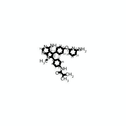 C=C(C)C(=O)Nc1ccc(-c2c(-c3ccc(Oc4cccc(N)n4)cc3)c3c(N)ncnc3n2C)cc1